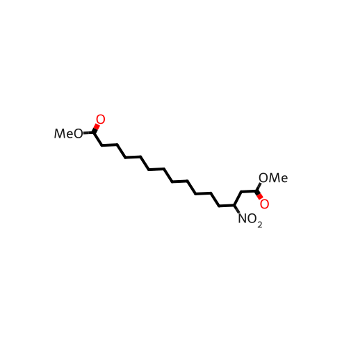 COC(=O)CCCCCCCCCCCC(CC(=O)OC)[N+](=O)[O-]